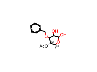 CC(=O)O[C@@H]1C(OCc2ccccc2)C(O)C(O)O[C@@H]1C